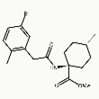 COC(=O)[C@]1(NC(=O)Cc2cc(Br)ccc2C)CC[C@H](C)CC1